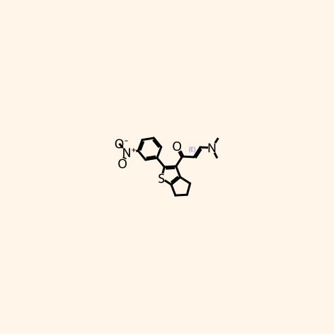 CN(C)/C=C/C(=O)c1c(-c2cccc([N+](=O)[O-])c2)sc2c1CCC2